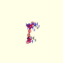 C[C@@H](OCc1ccc(CCCOCCCCCCOCCCc2cccc3c2n(C)c(=O)n3C2CCC(=O)NC2=O)cc1)[C@H](CCC(N)=O)NC(=O)[C@@H]1Cc2cccc3c2N1C(=O)[C@@H](N)CC3